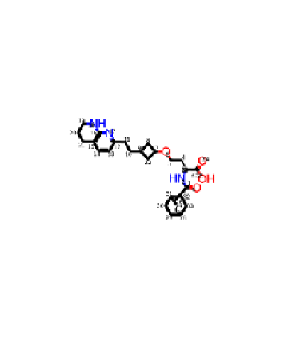 O=C(N[C@@H](CCOC1CC(CCc2ccc3c(n2)NCCC3)C1)C(=O)O)C1CC2CCC1CC2